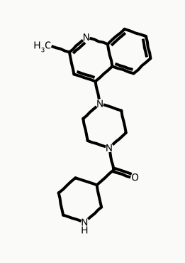 Cc1cc(N2CCN(C(=O)C3CCCNC3)CC2)c2ccccc2n1